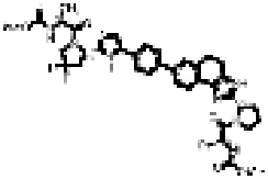 COC(=O)N[C@@H](C)C(=O)N1CC(F)(F)C[C@H]1c1ncc(-c2ccc(-c3ccc4c(c3)CCc3[nH]c([C@@H]5CCCN5C(=O)[C@@H](NC(=O)OC)C(C)C)nc3-4)cc2)[nH]1